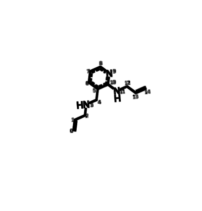 C=CCNCc1cccnc1NCC=C